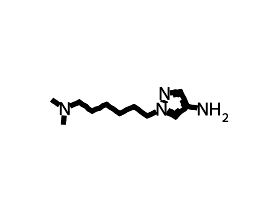 CN(C)CCCCCCn1cc(N)cn1